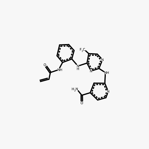 C=CC(=O)Nc1ccccc1Nc1nc(Nc2cc(C(N)=O)ccn2)ncc1C(F)(F)F